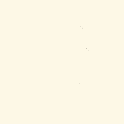 O=C(O)/C(=C\c1c[nH]c2ncccc12)c1ccccc1